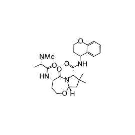 CN[C@@H](C)C(=O)N[C@H]1CCO[C@H]2CC(C)(C)[C@@H](C(=O)NC3CCOc4ccccc43)N2C1=O